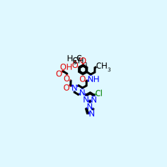 CCCC(NC(=O)CC1CN(C(=O)COCC(=O)O)CCN1c1cc(Cl)nc(-n2ccnc2)n1)c1ccc(OC)c(OC)c1